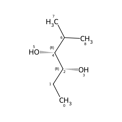 CC[C@@H](O)[C@H](O)C(C)C